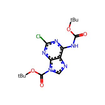 CC(C)(C)OC(=O)Nc1nc(Cl)nc2c1ncn2C(=O)OC(C)(C)C